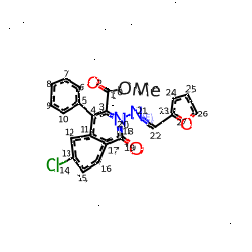 COC(=O)c1c(-c2ccccc2)c2cc(Cl)ccc2c(=O)n1/N=C/c1ccco1